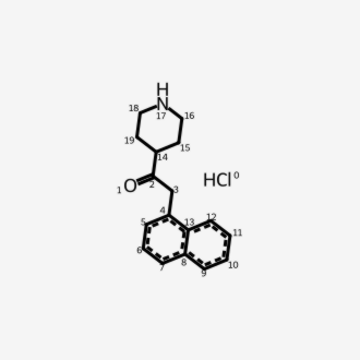 Cl.O=C(Cc1cccc2ccccc12)C1CCNCC1